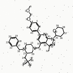 COCOc1ccc(-c2cc(CN3CCN(Cc4ccccc4)C(CC(F)(F)F)C3)c3c(C)nn(C4CCCCO4)c3n2)cc1